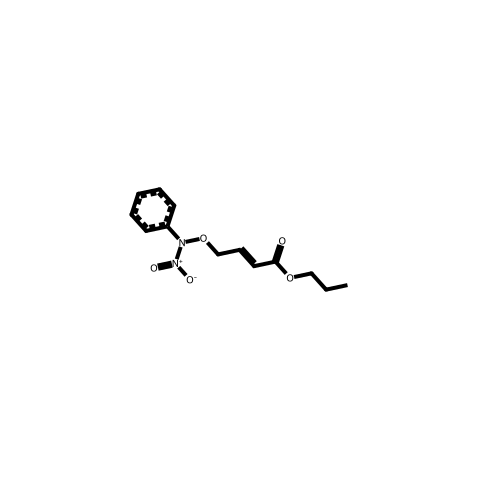 CCCOC(=O)C=CCON(c1ccccc1)[N+](=O)[O-]